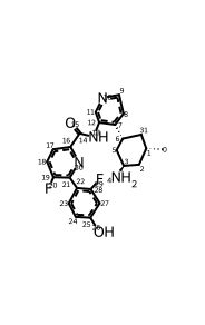 C[C@@H]1C[C@@H](N)C[C@H](c2ccncc2NC(=O)c2ccc(F)c(-c3ccc(O)cc3F)n2)C1